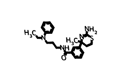 CCN(CCCNC(=O)c1cccc(C2(C)CCSC(N)=N2)c1)c1ccccc1